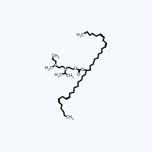 CCCCC/C=C\C/C=C\CCCCCCCCC(CCCCCCCC/C=C\C/C=C\CCCCC)OC(=O)OCCN(CCN(C)CCC)C(C)C